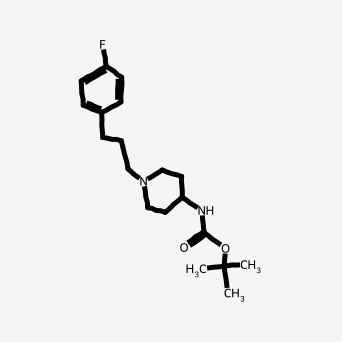 CC(C)(C)OC(=O)NC1CCN(CCCc2ccc(F)cc2)CC1